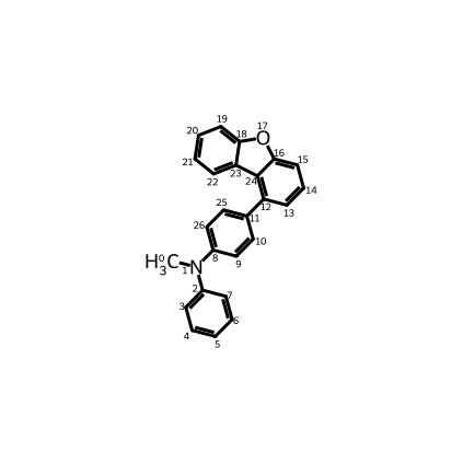 CN(c1ccccc1)c1ccc(-c2cccc3oc4ccccc4c23)cc1